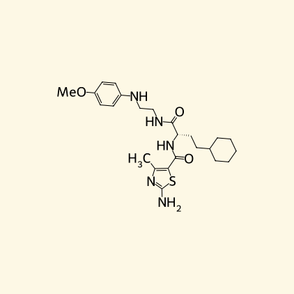 COc1ccc(NCCNC(=O)[C@H](CCC2CCCCC2)NC(=O)c2sc(N)nc2C)cc1